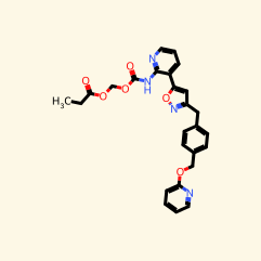 CCC(=O)OCOC(=O)Nc1ncccc1-c1cc(Cc2ccc(COc3ccccn3)cc2)no1